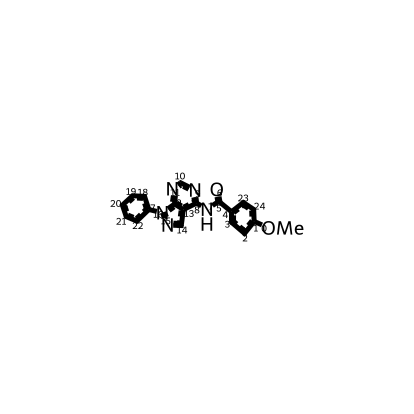 COc1ccc(C(=O)Nc2ncnc3c2cnn3-c2ccccc2)cc1